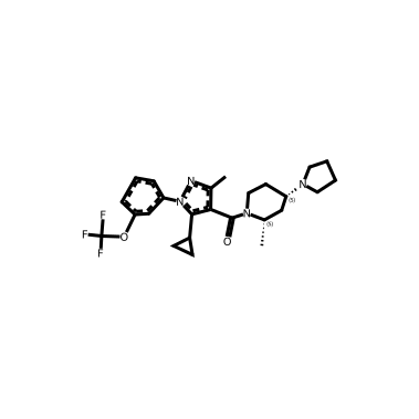 Cc1nn(-c2cccc(OC(F)(F)F)c2)c(C2CC2)c1C(=O)N1CC[C@H](N2CCCC2)C[C@@H]1C